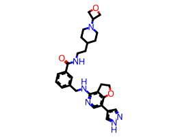 O=C(NCCC1CCN(C2COC2)CC1)c1cccc(CNc2ncc(-c3cn[nH]c3)c3c2CCO3)c1